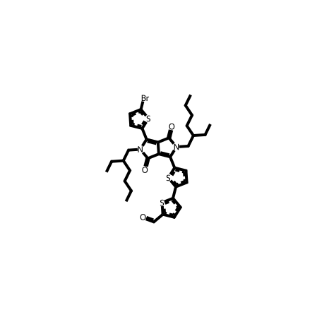 CCCCC(CC)CN1C(=O)C2=C(c3ccc(-c4ccc(C=O)s4)s3)N(CC(CC)CCCC)C(=O)C2=C1c1ccc(Br)s1